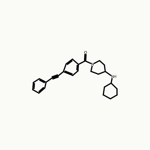 O=C(c1ccc(C#Cc2ccccc2)cc1)N1CCC(NC2CCCCC2)CC1